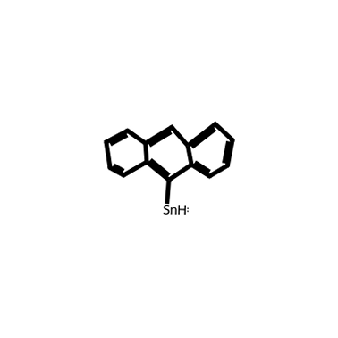 [SnH][c]1c2ccccc2cc2ccccc12